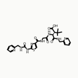 CC(C)(C)[C@H](C(=O)O)C(NC(=O)CNC(=O)c1csc(NC(=O)NCc2ccccn2)n1)C(=O)NCc1ccccn1